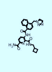 NC(=O)c1ccc(NC(=O)c2ccc(Cn3ccnn3)c3ccccc23)c(C(=O)NCC2CCC2)n1